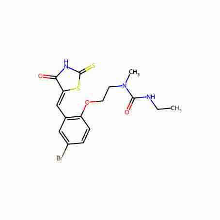 CCNC(=O)N(C)CCOc1ccc(Br)cc1C=C1SC(=S)NC1=O